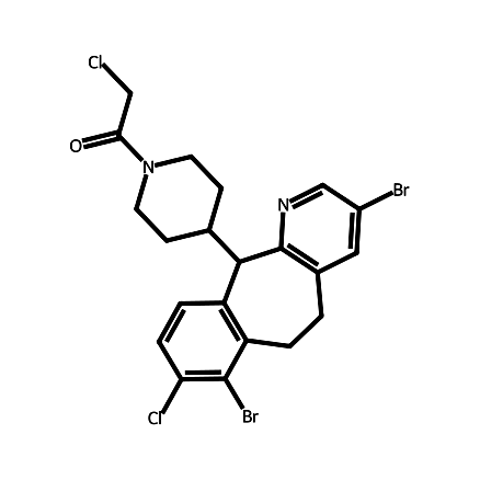 O=C(CCl)N1CCC(C2c3ccc(Cl)c(Br)c3CCc3cc(Br)cnc32)CC1